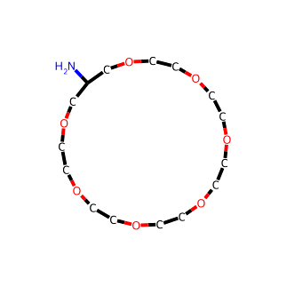 NC1COCCOCCOCCOCCOCCOCCOC1